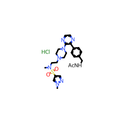 CC(=O)NCc1ccc(-c2nccnc2N2CCN(CCN(C)S(=O)(=O)c3cnn(C)c3)CC2)cc1.Cl